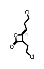 O=C1O/C(=C\CCCl)C1CCCl